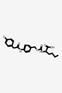 CCCCC(NC(=O)OCc1ccc(NC(=O)Cc2ccc(F)cc2)cc1)C(=O)O